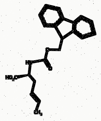 CC=CC[C@H](NC(=O)OCC1c2ccccc2-c2ccccc21)C(=O)O